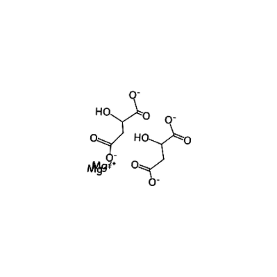 O=C([O-])CC(O)C(=O)[O-].O=C([O-])CC(O)C(=O)[O-].[Mg+2].[Mg+2]